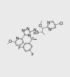 COc1cccc(-c2nnc(NSC(C)C(OC)c3ncc(Cl)cn3)n2[C@@H](C)c2cc(F)cc(F)c2)n1